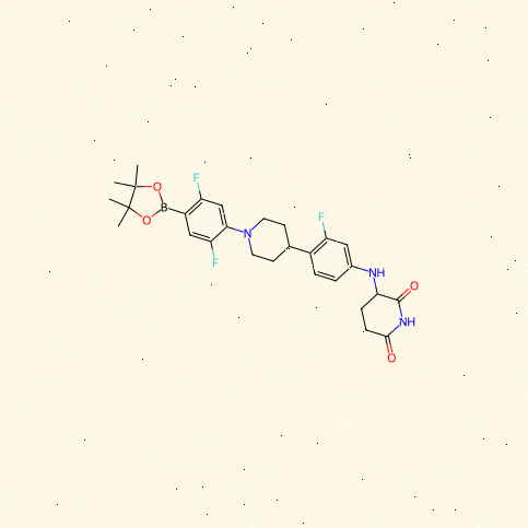 CC1(C)OB(c2cc(F)c(N3CCC(c4ccc(NC5CCC(=O)NC5=O)cc4F)CC3)cc2F)OC1(C)C